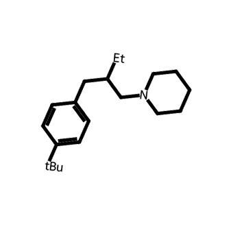 CCC(Cc1ccc(C(C)(C)C)cc1)CN1CCCCC1